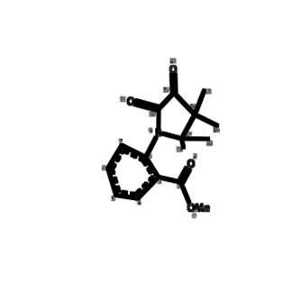 COC(=O)c1ccccc1B1C(=O)C(=O)C(C)(C)C1(C)C